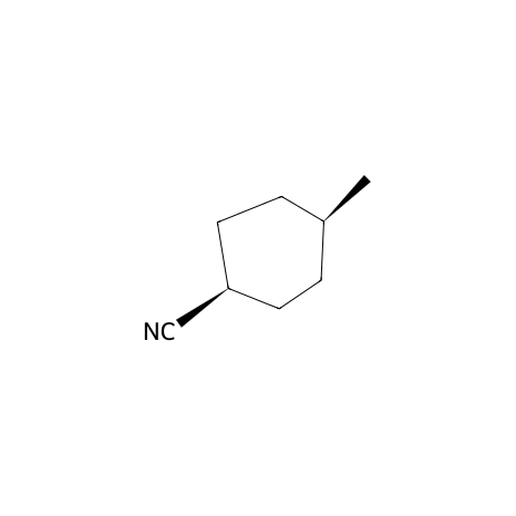 C[C@H]1CC[C@@H](C#N)CC1